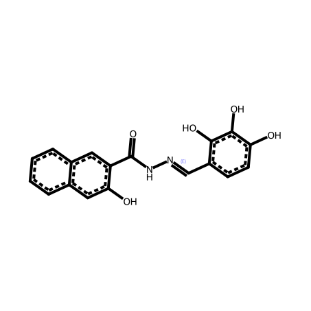 O=C(N/N=C/c1ccc(O)c(O)c1O)c1cc2ccccc2cc1O